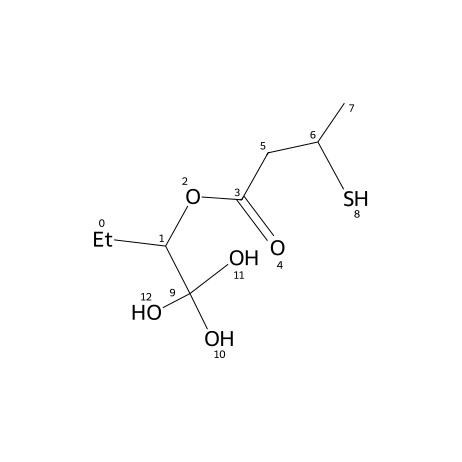 CCC(OC(=O)CC(C)S)C(O)(O)O